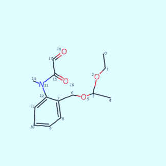 CCOC(C)OCc1ccccc1N(C)C(=O)C=O